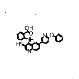 O=C(O)c1ccccc1Nc1c(S)cnc2ccc(-c3ccc(Oc4ccccc4)nc3)cc12